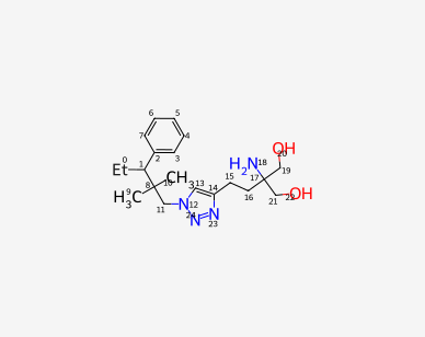 CCC(c1ccccc1)C(C)(C)Cn1cc(CCC(N)(CO)CO)nn1